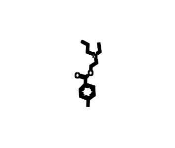 CCCN(CC)CCOC(=O)c1ccc(C)cc1